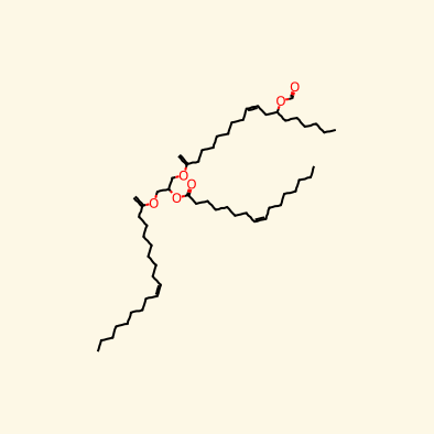 C=C(CCCCCCC/C=C\CCCCCCCC)OCC(COC(=C)CCCCCCC/C=C\CC(CCCCCC)OC=O)OC(=O)CCCCCC/C=C\CCCCCCC